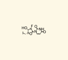 O=c1ccn([C@@H]2O[C@H](CI)C(O)[C@@H]2F)c(=O)[nH]1